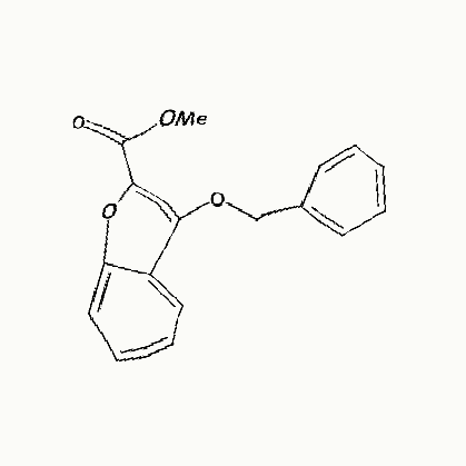 COC(=O)c1oc2ccccc2c1OCc1ccccc1